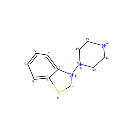 c1ccc2c(c1)SCN2N1CC[N]CC1